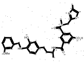 COc1cccc(CNc2ccc(CCC(C)NC(=O)c3cc(C(=O)O)cc(C(=O)N(C)Cc4nc(C)cs4)c3)cc2O)c1